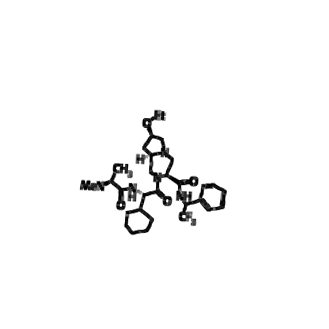 CCO[C@@H]1C[C@@H]2CN(C(=O)[C@@H](NC(=O)[C@H](C)NC)C3CCCCC3)[C@H](C(=O)NC(c3ccccc3)C(F)(F)F)CN2C1